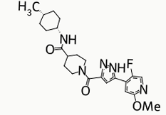 COc1cc(-c2cc(C(=O)N3CCC(C(=O)N[C@H]4CC[C@@H](C)CC4)CC3)n[nH]2)c(F)cn1